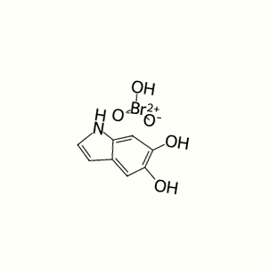 Oc1cc2cc[nH]c2cc1O.[O-][Br+2]([O-])O